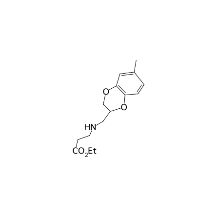 CCOC(=O)CCNCC1COc2cc(C)ccc2O1